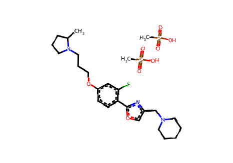 CC1CCCN1CCCOc1ccc(-c2nc(CN3CCCCC3)co2)c(F)c1.CS(=O)(=O)O.CS(=O)(=O)O